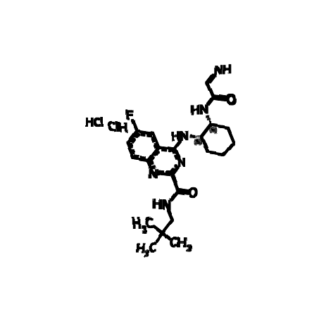 CC(C)(C)CNC(=O)c1nc(N[C@H]2CCCC[C@H]2NC(=O)C=N)c2cc(F)ccc2n1.Cl.Cl